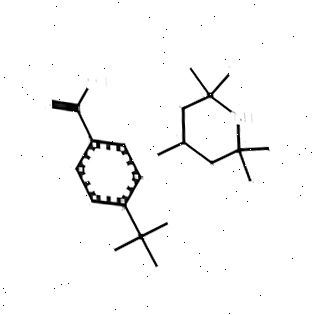 CC(C)(C)c1ccc(C(=O)O)cc1.CC1CC(C)(C)NC(C)(C)C1